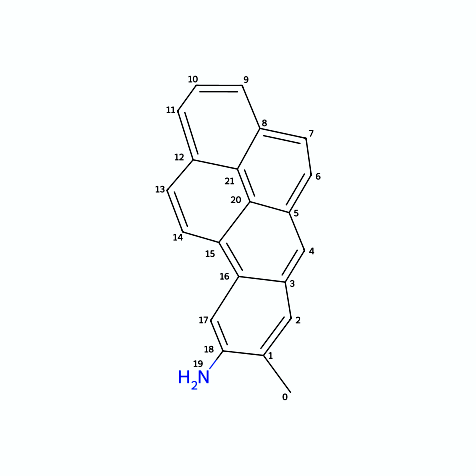 Cc1cc2cc3ccc4cccc5ccc(c2cc1N)c3c45